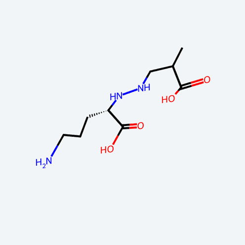 CC(CNN[C@@H](CCCN)C(=O)O)C(=O)O